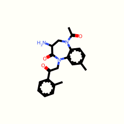 CC(=O)N1CC(N)C(=O)N(CC(=O)c2ccccc2C)c2cc(C)ccc21